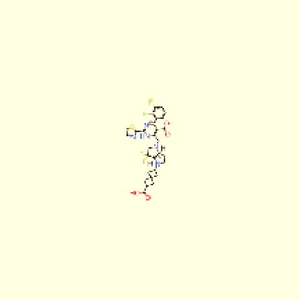 COC(=O)C1=C(CN2CC(F)(F)[C@H]3[C@@H]2CCN3C2CC3(CC(C(=O)O)C3)C2)NC(c2nccs2)=N[C@H]1c1cccc(F)c1F